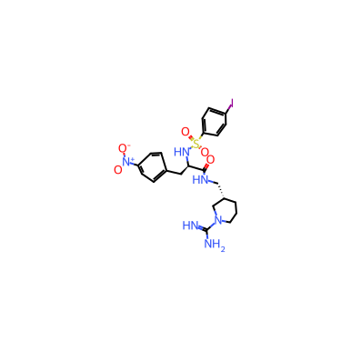 N=C(N)N1CCC[C@@H](CNC(=O)[C@@H](Cc2ccc([N+](=O)[O-])cc2)NS(=O)(=O)c2ccc(I)cc2)C1